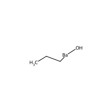 CC[CH2][Ba][OH]